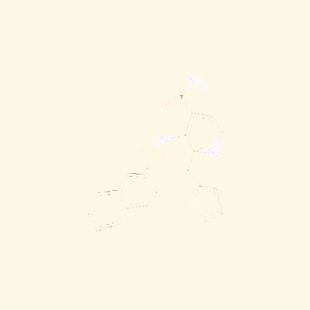 NC(=O)c1ccnc(Cc2ccco2)c1NS(=O)(=O)c1ccc2ccccc2c1